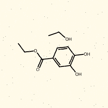 CCO.CCOC(=O)c1ccc(O)c(O)c1